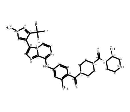 Cc1cc(Nc2nccn3c(-c4cn(C)nc4C(F)(F)F)cnc23)ccc1C(=O)N1CCN(C(=O)[C@H]2CCNC[C@@H]2O)CC1